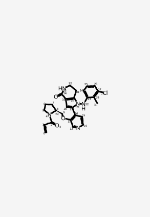 C=CC(=O)N1CCC[C@H]1COc1cnccc1-c1cc2c(n1Nc1cccc(Cl)c1C)CCNC2=O